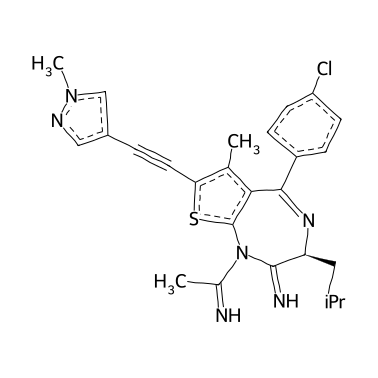 CC(=N)N1C(=N)[C@H](CC(C)C)N=C(c2ccc(Cl)cc2)c2c1sc(C#Cc1cnn(C)c1)c2C